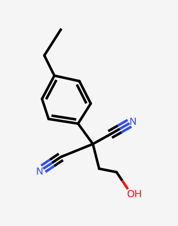 CCc1ccc(C(C#N)(C#N)CCO)cc1